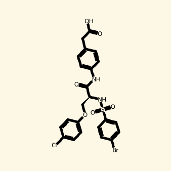 O=C(O)Cc1ccc(NC(=O)[C@H](COc2ccc(Cl)cc2)NS(=O)(=O)c2ccc(Br)cc2)cc1